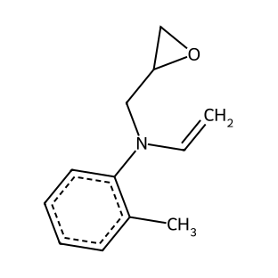 C=CN(CC1CO1)c1ccccc1C